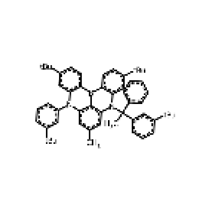 Cc1cc2c3c(c1)N(C(C)(c1ccccc1)c1cccc(C(C)(C)C)c1)c1cc(C(C)(C)C)ccc1B3c1ccc(C(C)(C)C)cc1N2c1cccc(C(C)(C)C)c1